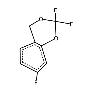 Fc1ccc2c(c1)OC(F)(F)OC2